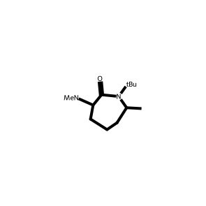 CNC1CCCC(C)N(C(C)(C)C)C1=O